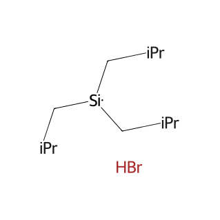 Br.CC(C)C[Si](CC(C)C)CC(C)C